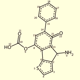 NC1c2ccsc2-c2c(OC(=O)O)cc(-c3ccccc3)c(=O)n21